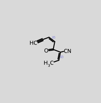 C#C/C=C\C(=O)/C(C#N)=C\C